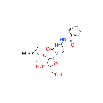 CO[C@@H](C)[C@@H](C)O[C@H]1C(O)[C@@H](CO)O[C@H]1n1ccc(NC(=O)c2ccccc2)nc1=O